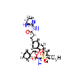 O=C(CCc1ccc2oc(CC(C(=O)O)S(=O)(=O)NC(=O)OCc3ccccc3)cc2c1)NC1=NCCCN1